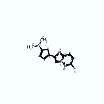 CN(C)C1=CC=C(c2cn3nc(F)ccc3n2)C1